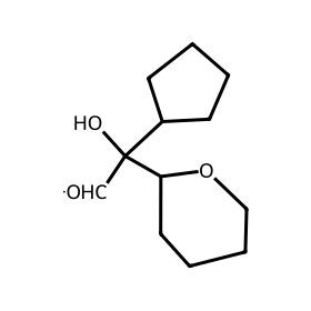 O=[C]C(O)(C1CCCC1)C1CCCCO1